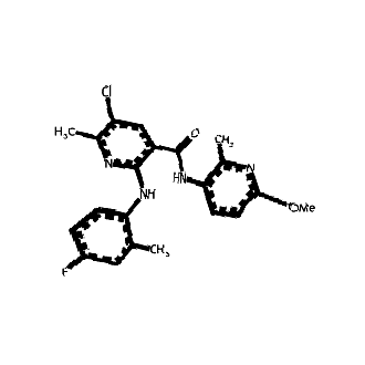 COc1ccc(NC(=O)c2cc(Cl)c(C)nc2Nc2ccc(F)cc2C)c(C)n1